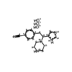 Cl.Cl.Cl.N#Cc1ccc(CC(c2cnc[nH]2)N2CCNCC2)cc1